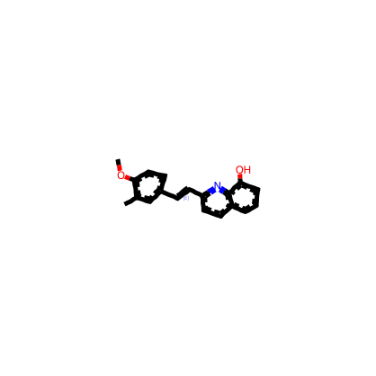 COc1ccc(/C=C/c2ccc3cccc(O)c3n2)cc1C